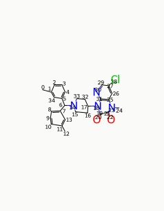 Cc1cccc(C(c2cccc(C)c2)N2CCC(n3c(=O)c(=O)n(C)c4cc(Cl)cnc43)CC2)c1